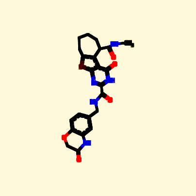 CNC(=O)C1CCCCc2sc3nc(C(=O)NCc4ccc5c(c4)NC(=O)CO5)[nH]c(=O)c3c21